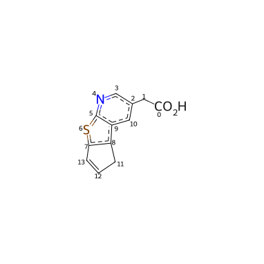 O=C(O)Cc1cnc2sc3c(c2c1)CC=C3